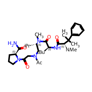 CN[C@H](C(=O)N[C@H](C(=O)N(C)[C@H](CN(CC(=O)N1CCC[C@H]1C(N)=O)C(C)=O)C(C)C)C(C)(C)C)C(C)(C)c1ccccc1